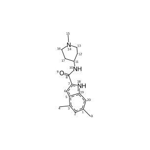 Cc1cc(C)c2cc(C(=O)NC3CCN(C)CC3)[nH]c2c1